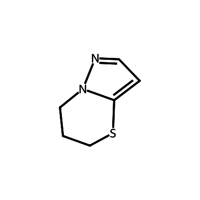 c1cc2n(n1)CCCS2